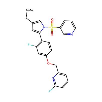 CNCc1cc(-c2ccc(OCc3cccc(F)n3)cc2F)n(S(=O)(=O)c2cccnc2)c1